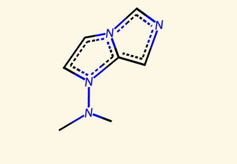 CN(C)n1ccn2cncc12